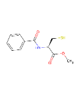 COC(=O)[C@H](CS)NC(=O)c1ccccc1